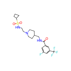 O=C(NCC1CCN(CCNS(=O)(=O)C2CCC2)CC1)c1cc(F)cc(C(F)(F)F)c1